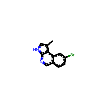 Cc1c[nH]c2ncc3ccc(Br)cc3c12